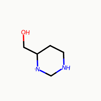 OCC1CCNC[N]1